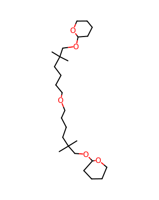 CC(C)(CCCCOCCCCC(C)(C)COC1CCCCO1)COC1CCCCO1